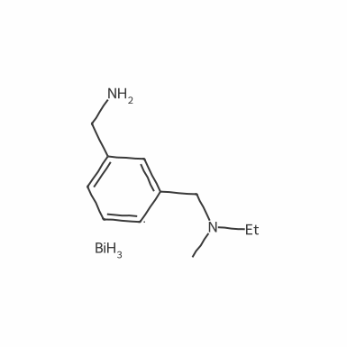 CCN(C)Cc1[c]ccc(CN)c1.[BiH3]